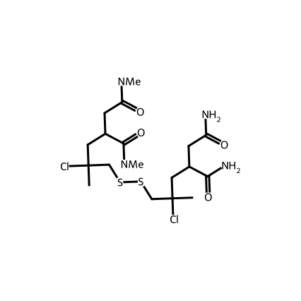 CNC(=O)CC(CC(C)(Cl)CSSCC(C)(Cl)CC(CC(N)=O)C(N)=O)C(=O)NC